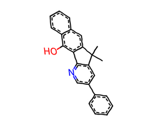 CC1(C)c2cc(-c3ccccc3)cnc2-c2c1cc1ccccc1c2O